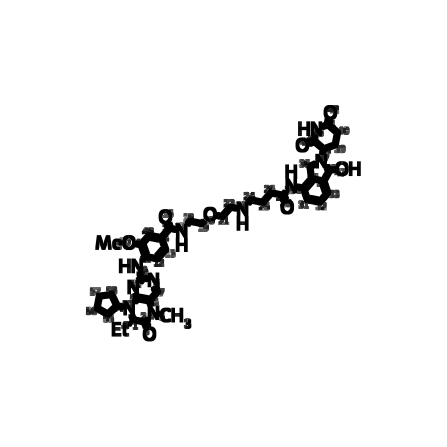 CC[C@@H]1C(=O)N(C)c2cnc(Nc3ccc(C(=O)NCCOCCNCCCC(=O)Nc4cccc5c4CN(C4CCC(=O)NC4=O)C5O)cc3OC)nc2N1C1CCCC1